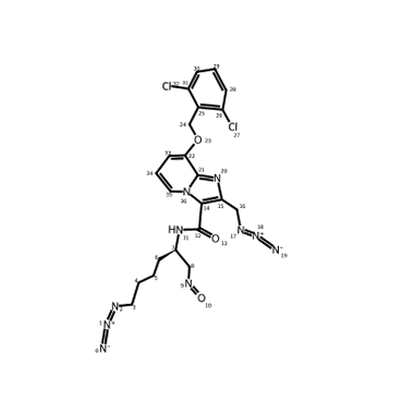 [N-]=[N+]=NCCCC[C@H](CN=O)NC(=O)c1c(CN=[N+]=[N-])nc2c(OCc3c(Cl)cccc3Cl)cccn12